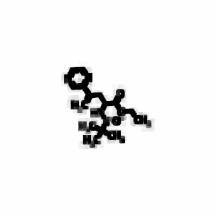 C=C(C[C@H](N[S+]([O-])C(C)(C)C)C(=O)OCC)c1cnccn1